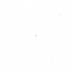 CC(C)n1cnc2c(NCCNc3ccccn3)nc(C3C=NC=CC3)nc21